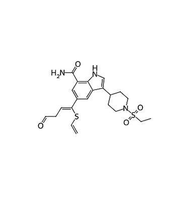 C=CSC(=CCC=O)c1cc(C(N)=O)c2[nH]cc(C3CCN(S(=O)(=O)CC)CC3)c2c1